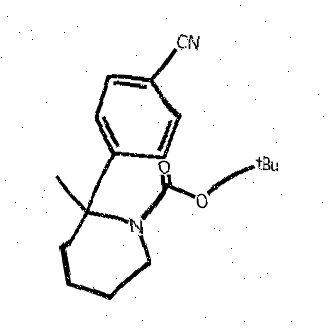 CC(C)(C)OC(=O)N1CCCCC1(C)c1ccc(C#N)cc1